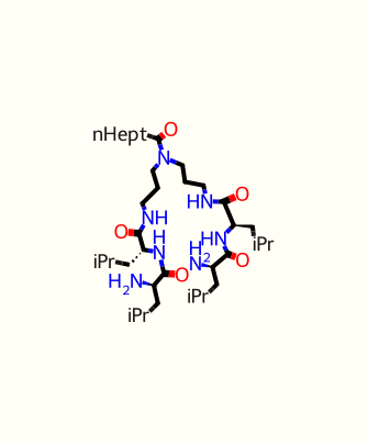 CCCCCCCC(=O)N(CCCNC(=O)[C@@H](CC(C)C)NC(=O)[C@H](N)CC(C)C)CCCNC(=O)[C@@H](CC(C)C)NC(=O)[C@H](N)CC(C)C